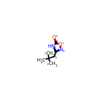 CC(C)(C)Cc1noc(=O)[nH]1